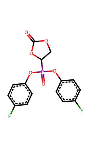 O=C1OCC(P(=O)(Oc2ccc(F)cc2)Oc2ccc(F)cc2)O1